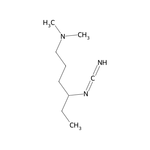 CCC(CCCN(C)C)N=C=N